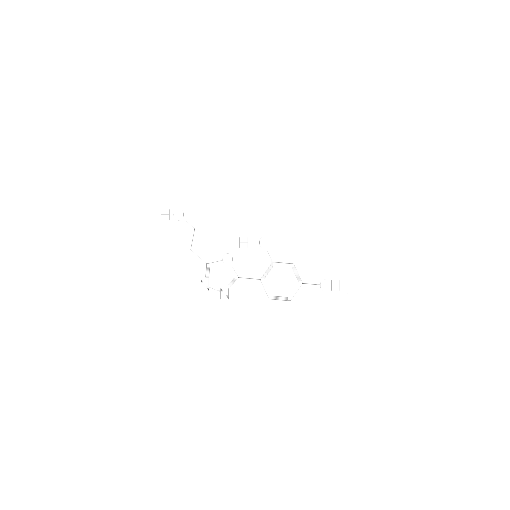 Cc1ccc(-c2nnc(CCO)o2)c(C)c1